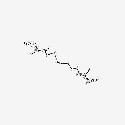 C[C@H](NCCCCCCN[C@@H](C)C(=O)O)C(=O)O